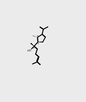 CC(C)=CCC[C@](C)(O)[C@@H]1CCC(C(C)C)[C@H]1C